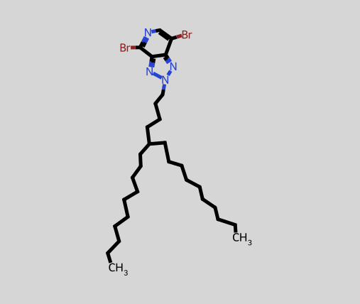 CCCCCCCCCCC(CCCCCCCCCC)CCCCn1nc2c(Br)cnc(Br)c2n1